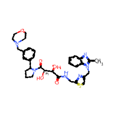 Cc1nc2ccccc2n1Cc1csc(CNC(=O)C(O)[C@@H](O)C(=O)N2CCCC2c2cccc(CN3CCOCC3)c2)n1